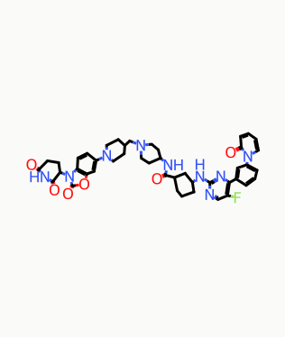 O=C1CCC(n2c(=O)oc3cc(N4CCC(CN5CCC(NC(=O)C6CCCC(Nc7ncc(F)c(-c8cccc(-n9ccccc9=O)c8)n7)C6)CC5)CC4)ccc32)C(=O)N1